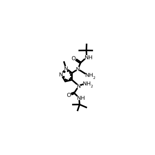 Cn1ncc(N(N)C(=O)NC(C)(C)C)c1N(N)C(=O)NC(C)(C)C